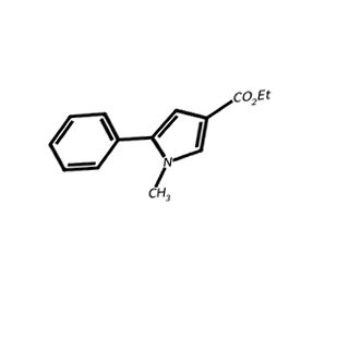 CCOC(=O)c1cc(-c2ccccc2)n(C)c1